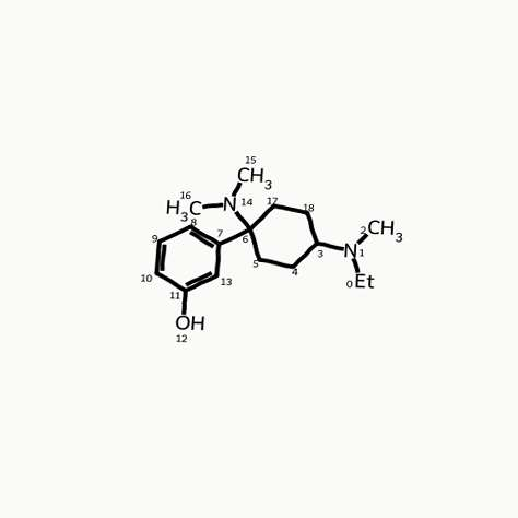 CCN(C)C1CCC(c2cccc(O)c2)(N(C)C)CC1